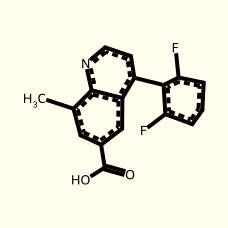 Cc1cc(C(=O)O)cc2c(-c3c(F)cccc3F)ccnc12